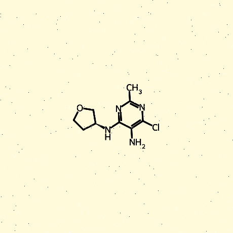 Cc1nc(Cl)c(N)c(N[C@H]2CCOC2)n1